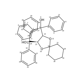 OC(c1ccccc1)(c1ccccc1)C1OC2(CCCCC2)O[C@H]1C(O)(c1ccccc1)c1ccccc1